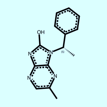 Cc1cnc2nc(O)n([C@@H](C)c3ccccc3)c2n1